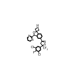 Fc1c(Cl)cc(C2(C(F)(F)F)CC(c3ccc4c(c3)C(c3ncccn3)OC43CNC3)=NS2)cc1Cl